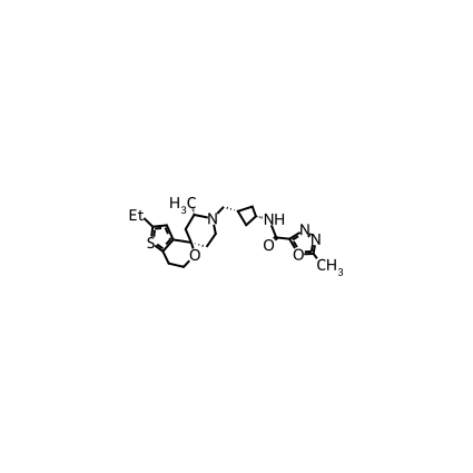 CCc1cc2c(s1)CCO[C@@]21CCN(C[C@H]2C[C@@H](NC(=O)c3nnc(C)o3)C2)[C@@H](C)C1